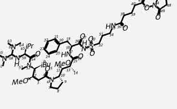 CC[C@H](C)[C@@H]([C@@H](CC(=O)N1CCC[C@H]1[C@H](OC)[C@@H](C)C(=O)N[C@@H](Cc1ccccc1)C(=O)NS(=O)(=O)CCCNC(=O)CCCC(=O)ON1C(=O)CCC1=O)OC)N(C)C(=O)[C@@H](NC(N(C)C)N(C)C)C(C)C